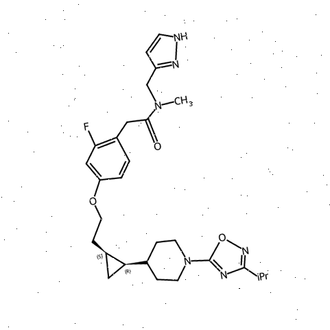 CC(C)c1noc(N2CCC([C@H]3C[C@H]3CCOc3ccc(CC(=O)N(C)Cc4cc[nH]n4)c(F)c3)CC2)n1